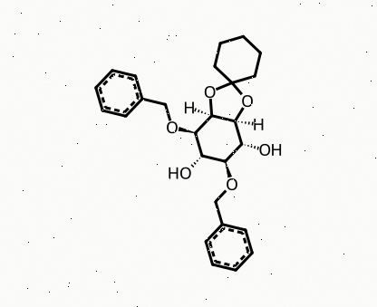 O[C@@H]1[C@@H](OCc2ccccc2)[C@H](O)[C@@H](OCc2ccccc2)[C@H]2OC3(CCCCC3)O[C@@H]12